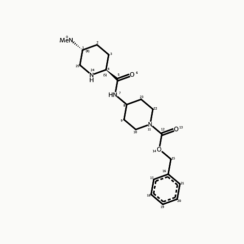 CN[C@@H]1CC[C@@H](C(=O)NC2CCN(C(=O)OCc3ccccc3)CC2)NC1